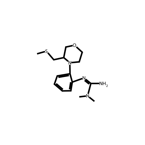 CSCC1COCCN1c1ccccc1N=C(N)N(C)C